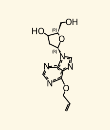 C=CCOc1ncnc2c1ncn2[C@H]1CC(O)[C@@H](CO)O1